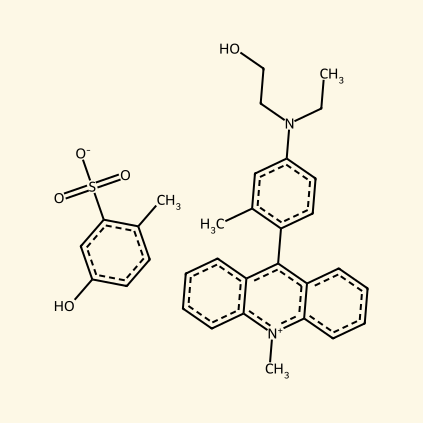 CCN(CCO)c1ccc(-c2c3ccccc3[n+](C)c3ccccc23)c(C)c1.Cc1ccc(O)cc1S(=O)(=O)[O-]